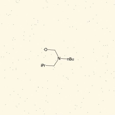 CCCCN(C[O])CC(C)C